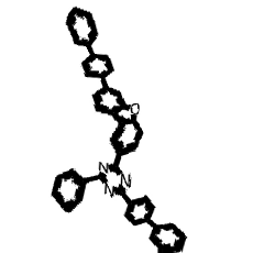 c1ccc(-c2ccc(-c3ccc4c(c3)oc3ccc(-c5nc(-c6ccccc6)nc(-c6ccc(-c7ccccc7)cc6)n5)cc34)cc2)cc1